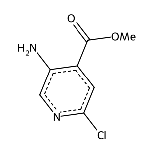 COC(=O)c1cc(Cl)ncc1N